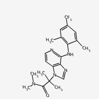 Cc1cc(C(F)(F)F)cc(C)c1Nc1nccc2c1ncn2C(C)(C)C(=O)N(C)C